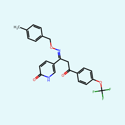 Cc1ccc(CON=C(CC(=O)c2ccc(OC(F)(F)F)cc2)c2ccc(=O)[nH]c2)cc1